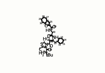 C=C1SCN(C(=O)[C@@H](O)[C@H](Cc2ccccc2)NC(=O)CNC(=O)c2cc3ccccc3o2)[C@@H]1C(=O)NC(C)(C)C